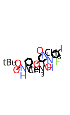 CNC(=O)c1c(Oc2cccc(NC(=O)OC(C)(C)C)c2C)cc(=O)n(C)c1Nc1ccc(I)cc1F